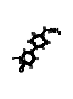 Cn1cc(-c2cnc(CN)cn2)ccc1=O